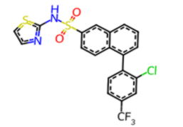 O=S(=O)(Nc1nccs1)c1ccc2c(-c3ccc(C(F)(F)F)cc3Cl)cccc2c1